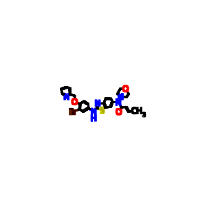 C/C=C/C(=O)N(c1ccc2nc(Nc3ccc(OCc4ccccn4)c(Br)c3)sc2c1)N1CCOCC1